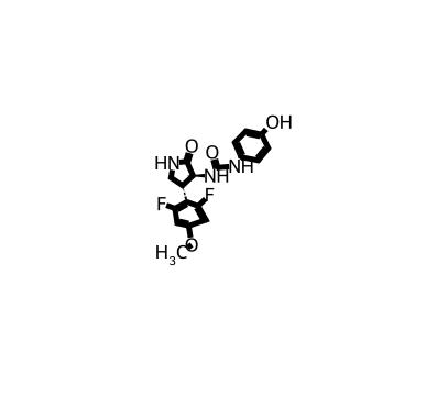 COc1cc(F)c([C@@H]2CNC(=O)[C@H]2NC(=O)Nc2ccc(O)cc2)c(F)c1